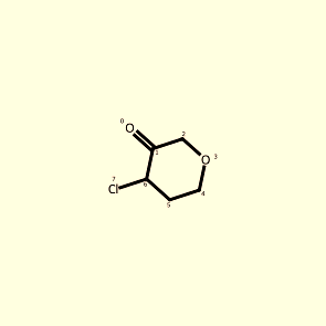 O=C1COCCC1Cl